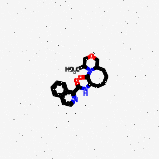 O=C(NC1CCCCC2COCC(C(=O)O)N2C1=O)c1nccc2ccccc12